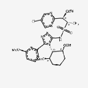 COc1cccc(-c2nnc(NS(=O)(=O)[C@@H](C)[C@H](OC)c3ncc(Cl)cn3)n2[C@@H]2[C@@H](OC)CCC[C@H]2OC)n1